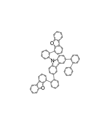 c1ccc(-c2ccccc2-c2ccc3c(c2)c2cc(-c4ccccc4-c4cccc5c4oc4ccccc45)ccc2n3-c2ccccc2-c2cccc3c2oc2ccccc23)cc1